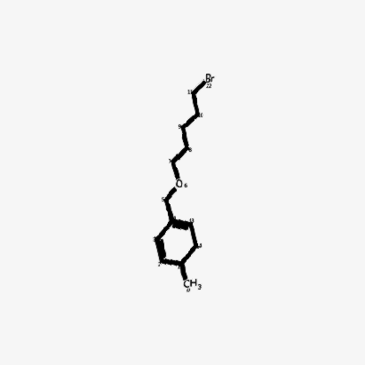 CC1C=CC(COCCCCCBr)=CC1